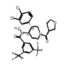 CN(C(=O)c1cc(C(F)(F)F)cc(C(F)(F)F)c1)[C@@H]1CCN(C(=O)C2CCOC2)C[C@H]1c1ccc(Cl)c(Cl)c1